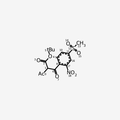 CC(=O)C(C(=O)OC(C)(C)C)C(=O)c1ccc(S(C)(=O)=O)cc1[N+](=O)[O-]